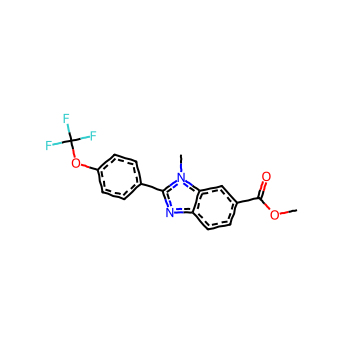 COC(=O)c1ccc2nc(-c3ccc(OC(F)(F)F)cc3)n(C)c2c1